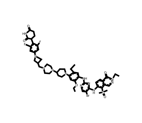 CCOc1cc(N2CCC(N3CCN(CC4CN(c5cc(F)c(C6CCC(=O)NC6=O)c(F)c5)C4)CC3)CC2)c(CC)cc1Nc1ncc(Br)c(Nc2ccc3c(=O)n(CC)ncc3c2P(C)(C)=O)n1